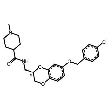 CN1CCC(C(=O)NC[C@@H]2COc3ccc(OCc4ccc(Cl)cc4)cc3O2)CC1